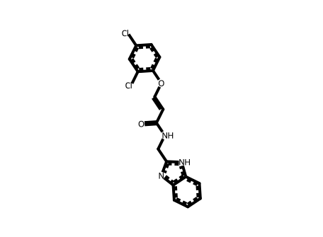 O=C(C=COc1ccc(Cl)cc1Cl)NCc1nc2ccccc2[nH]1